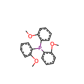 COc1ccccc1P(c1ccccc1OC)c1ccccc1OC